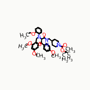 CCOc1ccccc1N(Cc1ccc(OC)cc1OC)C(C(=O)NCC1CCN(C(=O)OC(C)(C)C)CC1)C(=O)c1ccc(OC)cc1